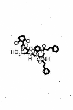 O=C(O)CC(NC(=O)CN1C(=O)[C@@H](NC(=O)CCc2ccccc2)CN(C(=O)CCc2ccccc2)c2ccccc21)C(=O)c1ncc(-c2c(Cl)cccc2Cl)o1